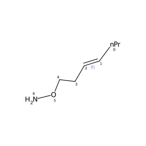 CCC/C=C/CCON